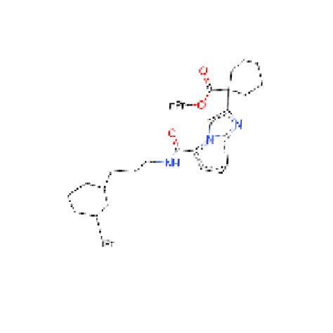 CCCOC(=O)C1(c2cn3c(C(=O)NCCCC4CCCC(C(C)C)C4)cccc3n2)CCCCC1